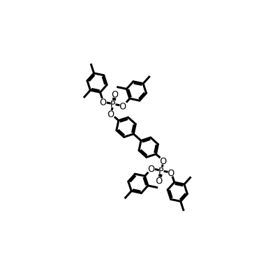 Cc1ccc(OP(=O)(Oc2ccc(-c3ccc(OP(=O)(Oc4ccc(C)cc4C)Oc4ccc(C)cc4C)cc3)cc2)Oc2ccc(C)cc2C)c(C)c1